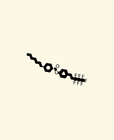 CCCCCCC[C@H]1CC[C@H](C(=O)Oc2ccc(CCC(F)(F)C(F)(F)C(F)(F)F)cc2)CC1